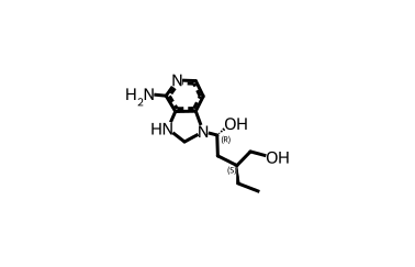 CC[C@H](CO)C[C@@H](O)N1CNc2c1ccnc2N